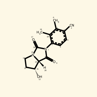 Cc1c(C#N)ccc(N2C(=O)[C@@H]3[C@H](O)CCN3C2=O)c1C